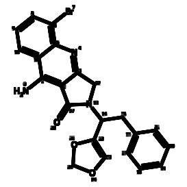 Nc1c2c(nc3c(Br)cccc13)CN(C(Cc1ccccc1)C1=COCO1)C2=O